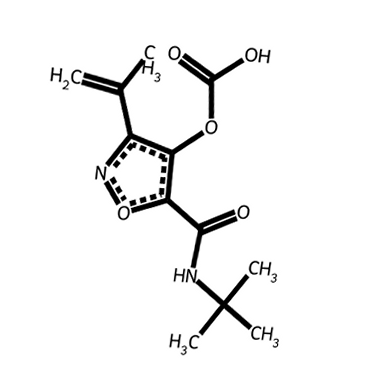 C=C(C)c1noc(C(=O)NC(C)(C)C)c1OC(=O)O